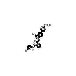 CC(=O)c1nn(CC(=O)N2C[C@H](F)C[C@H]2C(=O)Nc2cccc(Br)n2)c2ccc(-c3cnc(C(=O)O)nc3)cc12